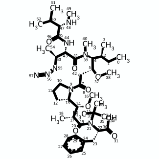 CC[C@H](C)[C@@H]([C@@H](CC(=O)N1CCC[C@H]1[C@H](OC)[C@@H](C)C(=O)N([C@@H](Cc1ccccc1)C(=O)O)C(C)(C)C)OC)N(C)C(=O)[C@@H](NC(=O)[C@@H](NC)C(C)C)[C@H](C)N=[N+]=[N-]